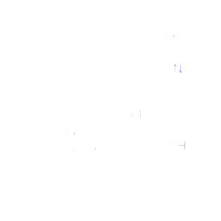 CC(CCCOCC(=O)c1ccccc1)C(Cl)CCCN1CCOCC1